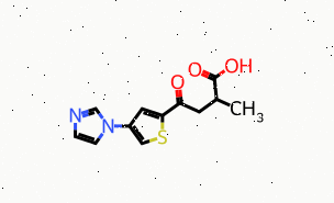 CC(CC(=O)c1cc(-n2ccnc2)cs1)C(=O)O